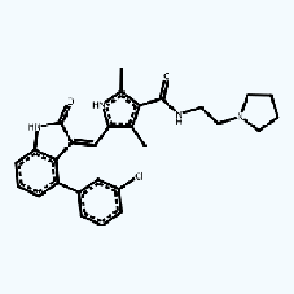 Cc1[nH]c(C=C2C(=O)Nc3cccc(-c4cccc(Cl)c4)c32)c(C)c1C(=O)NCCN1CCCC1